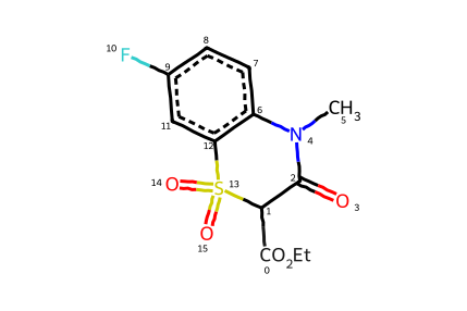 CCOC(=O)C1C(=O)N(C)c2ccc(F)cc2S1(=O)=O